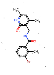 Cc1cc(C)c(CNC(=O)c2c[c]cc(Br)c2C)c(=O)[nH]1